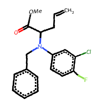 C=CCC(C(=O)OC)N(Cc1ccccc1)c1ccc(F)c(Cl)c1